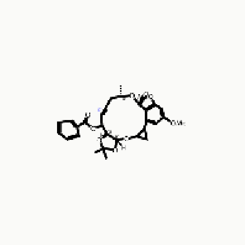 COc1cc(OC)c2c(c1)C1CC1C[C@@H]1OC(C)(C)O[C@@H]1C(OC(=O)c1ccccc1)/C=C\C[C@H](C)OC2=O